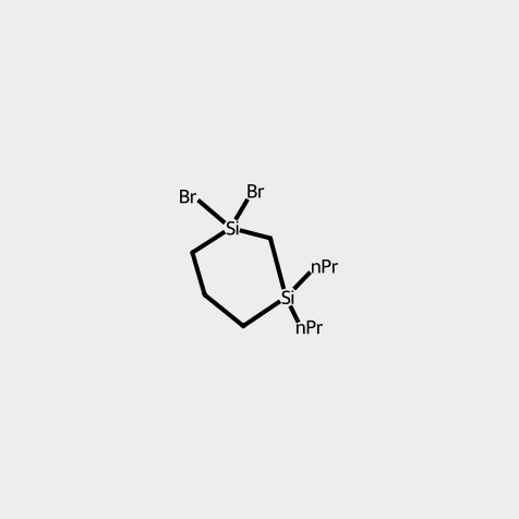 CCC[Si]1(CCC)CCC[Si](Br)(Br)C1